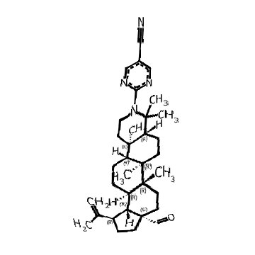 C=C(C)[C@@H]1CC[C@]2(C=O)CC[C@]3(C)[C@H](CC[C@@H]4[C@@]5(C)CCN(c6ncc(C#N)cn6)C(C)(C)[C@@H]5CC[C@]43C)[C@@H]12